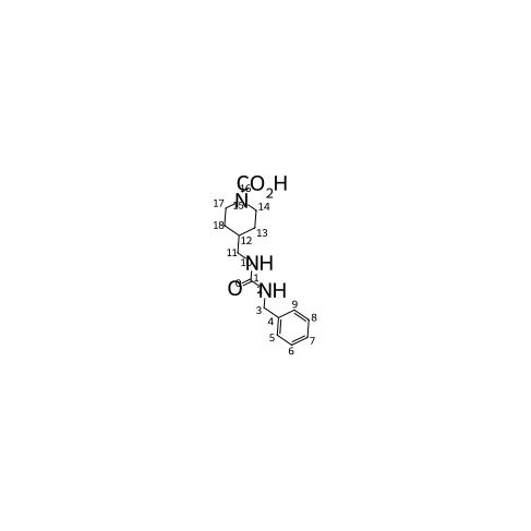 O=C(NCc1ccccc1)NCC1CCN(C(=O)O)CC1